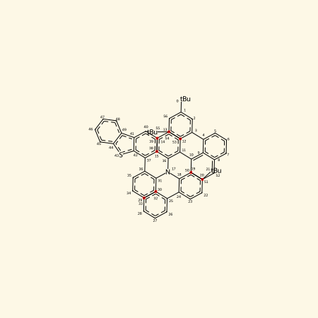 CC(C)(C)c1cc(-c2cccc3c2=C(c2ccccc2N(c2cc(C(C)(C)C)ccc2-c2ccccc2)c2ccccc2-c2cccc4c2sc2ccccc24)CCC=3)cc(C(C)(C)C)c1